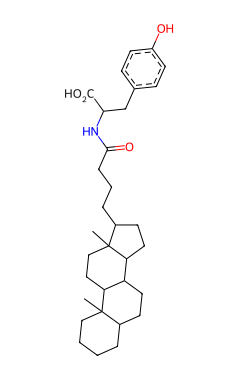 CC12CCCCC1CCC1C2CCC2(C)C(CCCC(=O)NC(Cc3ccc(O)cc3)C(=O)O)CCC12